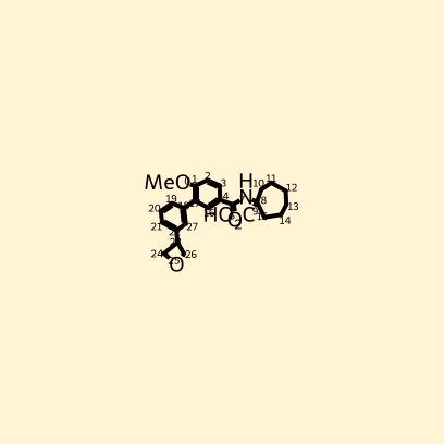 COc1ccc(C(=O)NC2(C(=O)O)CCCCCC2)cc1-c1cccc(C2COC2)c1